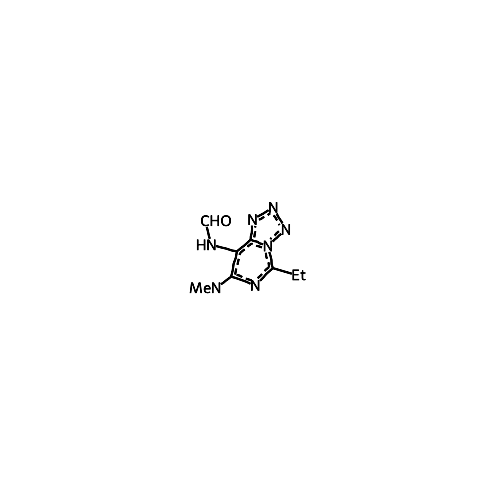 CCc1nc(NC)c(NC=O)c2nnnn12